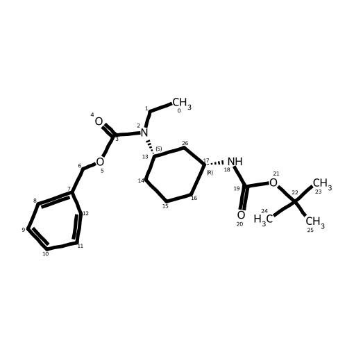 CCN(C(=O)OCc1ccccc1)[C@H]1CCC[C@@H](NC(=O)OC(C)(C)C)C1